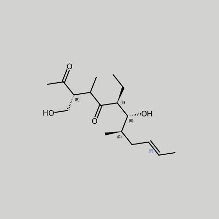 C/C=C/C[C@@H](C)[C@@H](O)[C@H](CC)C(=O)C(C)[C@H](CO)C(C)=O